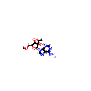 CC[C@@]1(O)[C@H](O)[C@@H](COC)O[C@H]1n1cnc2c(N)ncnc21